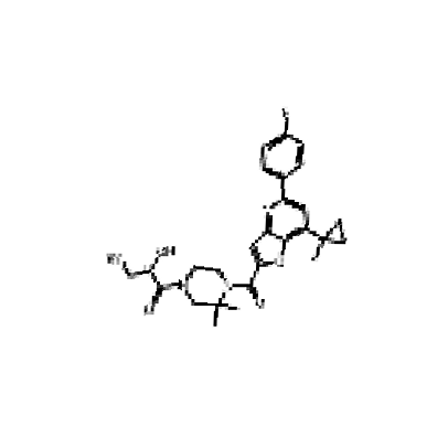 CC(C)C[C@@H](O)C(=O)N1CCN(C(=O)c2cc3nc(-c4ccc(F)cc4)cc(C4(C)CC4)c3o2)C(C)(C)C1